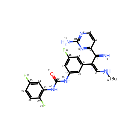 CC(C)(C)N/C=C(\C(=N)c1ccnc(N)n1)c1cc(F)cc(NC(=O)Nc2cc(F)ccc2F)c1